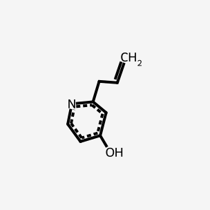 C=CCc1cc(O)ccn1